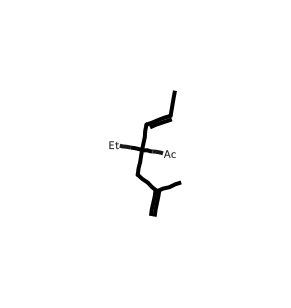 C=C(C)CC(C=CC)(CC)C(C)=O